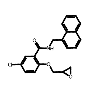 O=C(NCc1cccc2ccccc12)c1cc(Cl)ccc1OCC1CO1